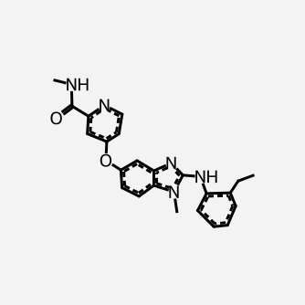 CCc1ccccc1Nc1nc2cc(Oc3ccnc(C(=O)NC)c3)ccc2n1C